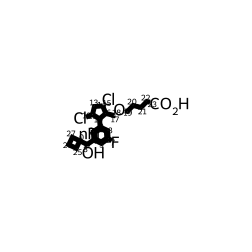 CCCC1(C(O)c2cc(F)cc(C3C(Cl)CC(Cl)C3COCCCCC(=O)O)c2)CCC1